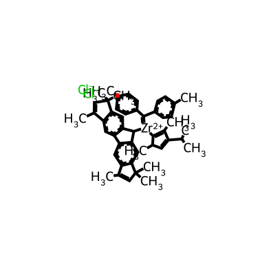 CC1=CC(C)(C)c2cc3c(cc21)-c1cc2c(cc1[CH]3[Zr+2]([C]1=C(C)C(C(C)C)=CC1C)=[C](c1ccc(C)cc1)c1ccc(C)cc1)C(C)(C)C=C2C.[Cl-].[Cl-]